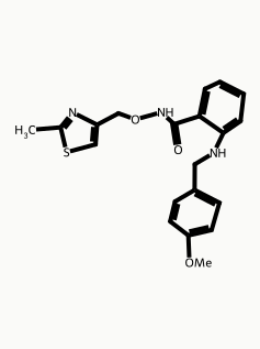 COc1ccc(CNc2ccccc2C(=O)NOCc2csc(C)n2)cc1